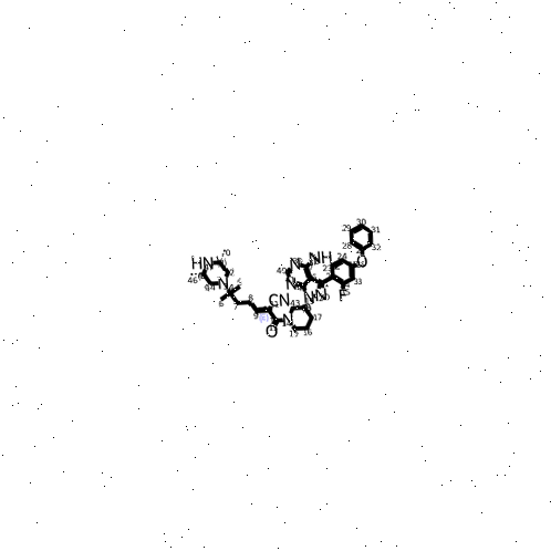 C[C@@H]1CN(C(C)(C)CC/C=C(\C#N)C(=O)N2CCC[C@@H](n3nc(-c4ccc(Oc5ccccc5)cc4F)c4c(N)ncnc43)C2)C[C@H](C)N1